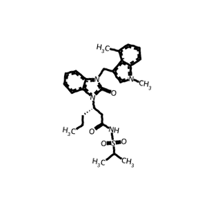 CCC[C@@H](CC(=O)NS(=O)(=O)C(C)C)n1c(=O)n(Cc2cn(C)c3cccc(C)c23)c2ccccc21